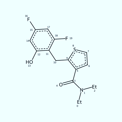 CCN(CC)C(=O)c1ccsc1Cc1c(O)cc(F)cc1F